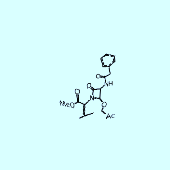 COC(=O)C(=C(C)C)N1C(=O)C(NC(=O)Cc2ccccc2)C1OCC(C)=O